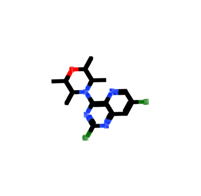 CC1OC(C)C(C)N(c2nc(Cl)nc3cc(Cl)cnc23)C1C